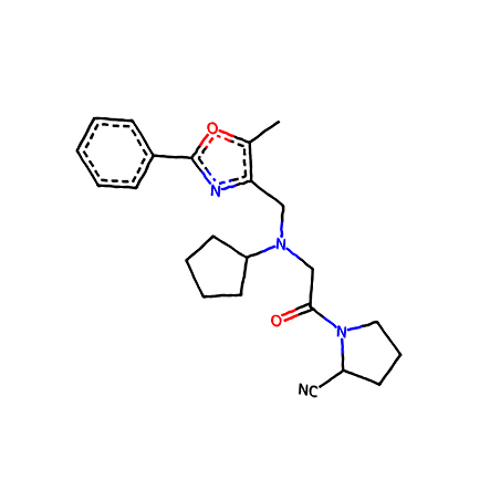 Cc1oc(-c2ccccc2)nc1CN(CC(=O)N1CCCC1C#N)C1CCCC1